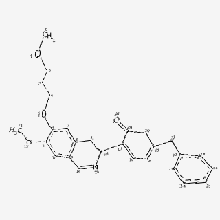 COCCCOc1cc2c(cc1OC)C=NC(C1=CC=C(Cc3ccccc3)CC1=O)C2